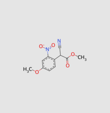 COC(=O)C(C#N)c1ccc(OC)cc1[N+](=O)[O-]